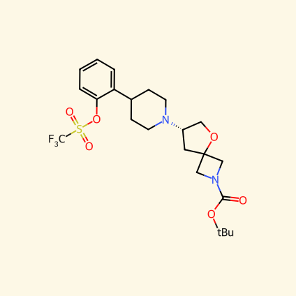 CC(C)(C)OC(=O)N1CC2(C[C@H](N3CCC(c4ccccc4OS(=O)(=O)C(F)(F)F)CC3)CO2)C1